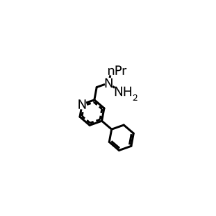 CCCN(N)Cc1cc(C2C=CC=CC2)ccn1